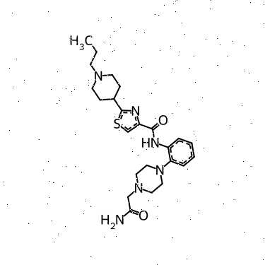 CCCN1CCC(c2nc(C(=O)Nc3ccccc3N3CCN(CC(N)=O)CC3)cs2)CC1